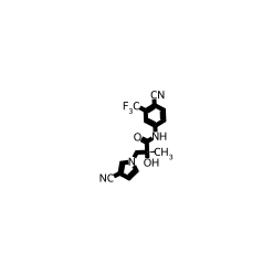 C[C@](O)(Cn1ccc(C#N)c1)C(=O)Nc1ccc(C#N)c(C(F)(F)F)c1